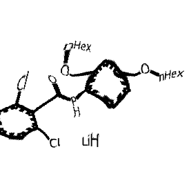 CCCCCCOc1ccc(PC(=O)c2c(Cl)cccc2Cl)c(OCCCCCC)c1.[LiH]